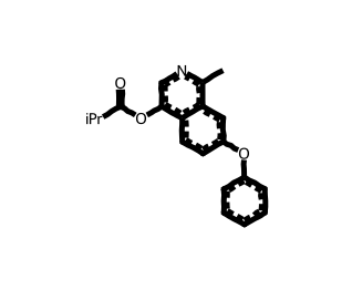 Cc1ncc(OC(=O)C(C)C)c2ccc(Oc3ccccc3)cc12